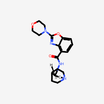 O=C(N[C@@H]1CN2CCC1CC2)c1cccc2oc(N3CCOCC3)nc12